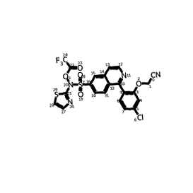 N#CCOc1cc(Cl)ccc1-c1nccc2cc(S(=O)(=O)N(OC(=O)C(F)(F)F)c3nccs3)ccc12